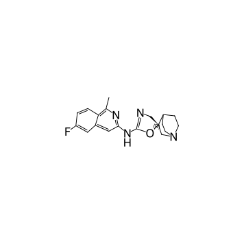 Cc1nc(NC2=NC[C@@]3(CN4CCC3CC4)O2)cc2cc(F)ccc12